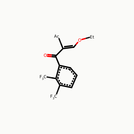 CCOC=C(C(C)=O)C(=O)c1cccc(C(F)(F)F)c1C(F)(F)F